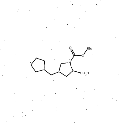 CC(C)(C)OC(=O)N1CC(CC2CCCC2)CC1C(=O)O